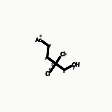 CC(=O)CCC(Cl)(Cl)CO